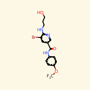 O=C(Nc1ccc(OC(F)(F)F)cc1)c1cnc(NCCCO)c(Br)c1